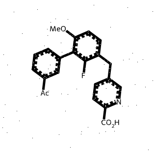 COc1ccc(Cc2ccc(C(=O)O)nc2)c(F)c1-c1cccc(C(C)=O)c1